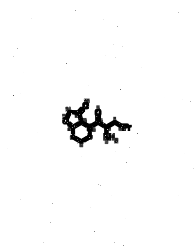 CC(C)CC(N)C(=O)N1CCCC2OCC(=O)C21